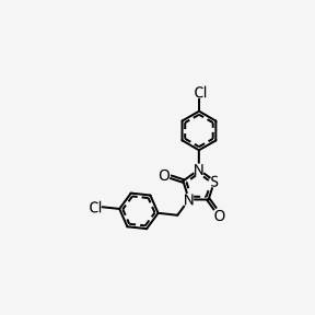 O=c1sn(-c2ccc(Cl)cc2)c(=O)n1Cc1ccc(Cl)cc1